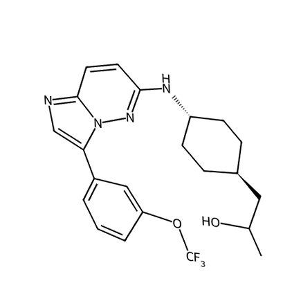 CC(O)C[C@H]1CC[C@H](Nc2ccc3ncc(-c4cccc(OC(F)(F)F)c4)n3n2)CC1